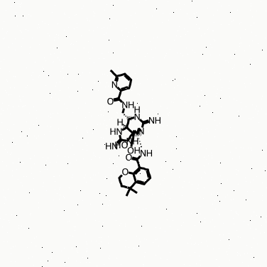 Cc1cccc(C(=O)NC[C@@H]2NC(=N)N3C[C@H](NC(=O)c4cccc5c4OCCC5(C)C)C(O)(O)[C@@]34NC(=N)N[C@@H]24)n1